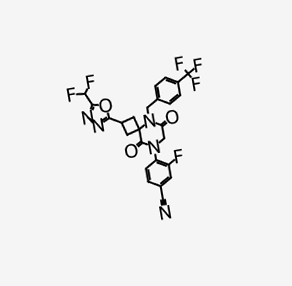 N#Cc1ccc(N2CC(=O)N(Cc3ccc(C(F)(F)F)cc3)C3(CC(c4nnc(C(F)F)o4)C3)C2=O)c(F)c1